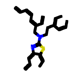 C=C/C=C\C=C(/C=C)CN(CCC(/C=C\C)=C/C)c1nc(=C/C=C)/c(=C\C)s1